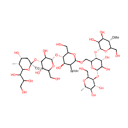 CO[C@@H]1C(CO)O[C@H](O[C@H]2C(CO[C@@H]3OC(CO)[C@@H](O[C@@H]4OC(CO)[C@H](O)[C@H](O[C@]5(C(=O)O)C[C@@H](O)[C@@H](C)C(C(O)C(O)CO)O5)C4O)[C@H](O)C3NC(C)=O)O[C@@H](O[C@@H]3C(CO)O[C@@H](C)C(O)[C@H]3O)C(O)[C@H]2O)C(O)[C@H]1O